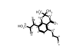 CC1(C)OC(=O)c2c(OCCF)ccc(C(Br)C(Br)C(=O)O)c2O1